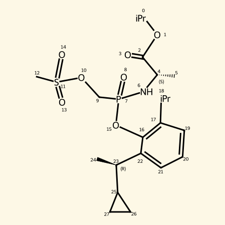 CC(C)OC(=O)[C@H](C)NP(=O)(COS(C)(=O)=O)Oc1c(C(C)C)cccc1[C@H](C)C1CC1